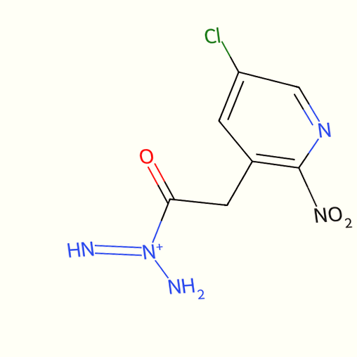 N=[N+](N)C(=O)Cc1cc(Cl)cnc1[N+](=O)[O-]